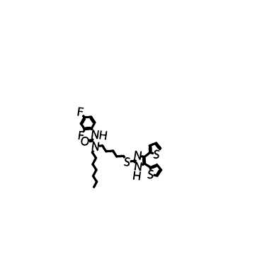 CCCCCCCN(CCCCCSc1nc(-c2cccs2)c(-c2cccs2)[nH]1)C(=O)Nc1ccc(F)cc1F